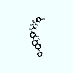 O=C(Nc1ccc(-n2cnc3cc(N4CCCC4)ccc3c2=O)c(F)c1)NS(=O)(=O)c1ccc(Cl)s1